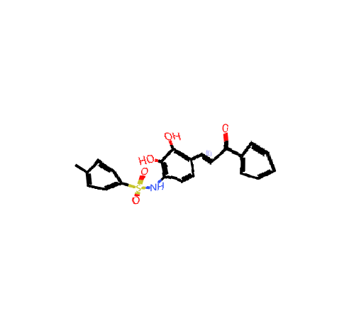 Cc1ccc(S(=O)(=O)Nc2ccc(/C=C/C(=O)c3ccccc3)c(O)c2O)cc1